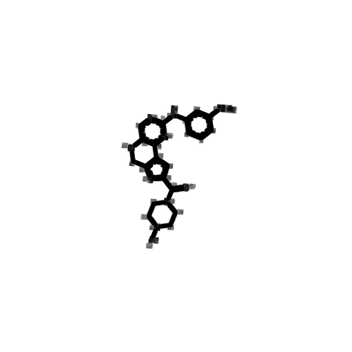 CC(=O)Nc1cccc(Nc2ncc3c(n2)-c2cc(C(=O)N4CCN(C(C)=O)CC4)sc2CO3)c1